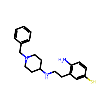 Nc1ccc(S)cc1CCNC1CCN(Cc2ccccc2)CC1